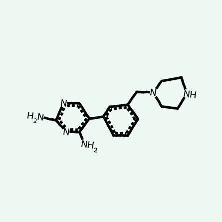 Nc1ncc(-c2cccc(CN3CCNCC3)c2)c(N)n1